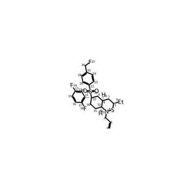 C=CCN1S[C@H](CC)C[C@@H]2C[C@](c3cc(F)ccc3F)(S(=O)(=O)c3ccc(CF)cc3)CC[C@@H]21